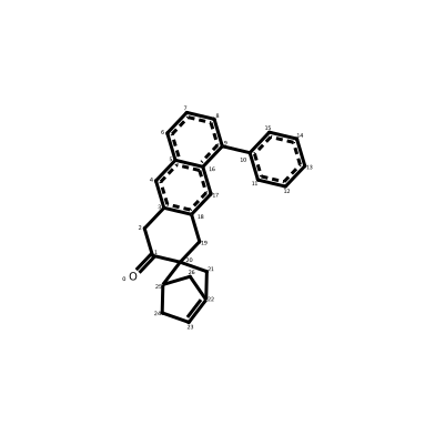 O=C1Cc2cc3cccc(-c4ccccc4)c3cc2CC12CC1=CCC2C1